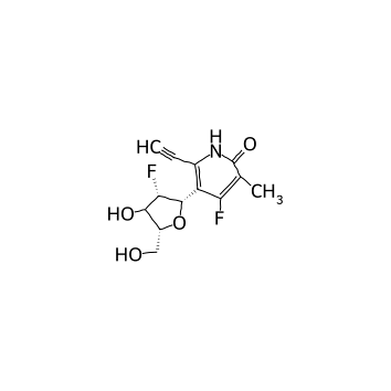 C#Cc1[nH]c(=O)c(C)c(F)c1[C@@H]1O[C@H](CO)C(O)[C@@H]1F